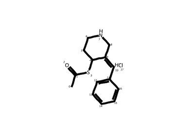 CC(=O)SC1CCNCC1=Cc1ccccc1.Cl